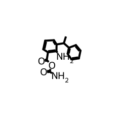 CC(c1ccccc1)c1cccc(C(=O)OC(N)=O)c1N